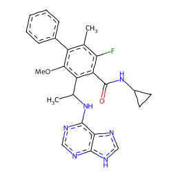 COc1c(-c2ccccc2)c(C)c(F)c(C(=O)NC2CC2)c1C(C)Nc1ncnc2[nH]cnc12